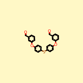 O=Cc1cccc(Oc2ccc(Sc3ccc(Oc4cccc(C=O)c4)cc3)cc2)c1